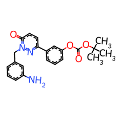 CC(C)(C)OC(=O)Oc1cccc(-c2ccc(=O)n(Cc3cccc(N)c3)n2)c1